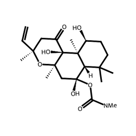 C=C[C@@]1(C)CC(=O)[C@]2(O)[C@@]3(C)[C@@H](O)CCC(C)(C)[C@@H]3[C@](O)(OC(=O)NC)C[C@@]2(C)O1